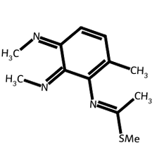 C/N=C1/C=CC(C)=C(/N=C(\C)SC)/C1=N/C